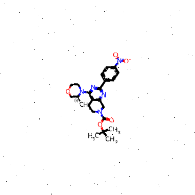 C[C@H]1COCCN1c1nc(-c2ccc([N+](=O)[O-])cc2)nc2c1CCN(C(=O)OC(C)(C)C)C2